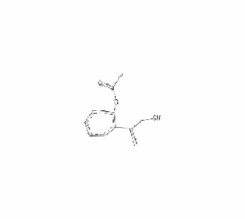 C=C(CS)c1ccccc1OC(C)=O